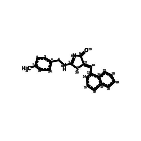 Cc1ccc(CNC2=NC(=O)C(=Cc3cccc4ccccc34)S2)cc1